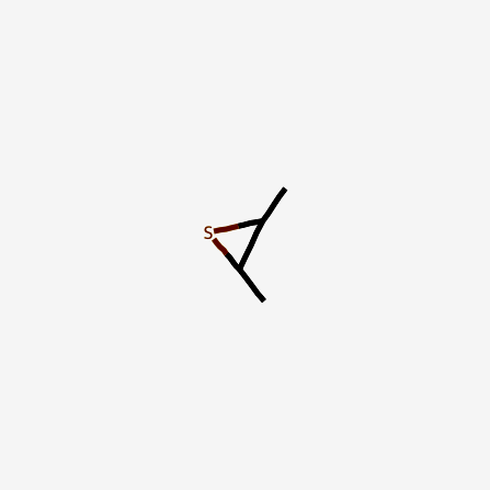 CC1SC1C